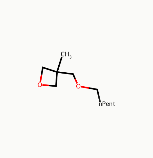 CCCCCCOCC1(C)COC1